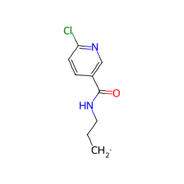 [CH2]CCNC(=O)c1ccc(Cl)nc1